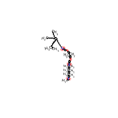 CCCCCCCCC1C(CCCCCC)CCC(CCCCCCCCN2C(=O)c3ccc(Oc4ccc(C(C)(C)c5ccc(Oc6ccc7c(c6)C(=O)N(C(C)(C)c6ccc(C(C)(C)c8ccc(C(C)(C)c9ccc(N%10C(=O)CC(C)C%10=O)cc9)cc8)cc6)C7=O)cc5)cc4)cc3C2=O)C1CCCCCCCCC(C)CC